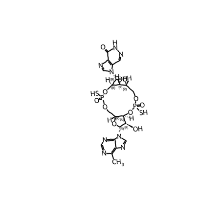 Cc1ncnc2c1ncn2[C@@H]1O[C@@H]2COP(=O)(S)O[C@@H]3[C@H](O)[C@@H](COP(=O)(S)O[C@H]2[C@H]1O)O[C@H]3n1cnc2c(=O)[nH]ncc21